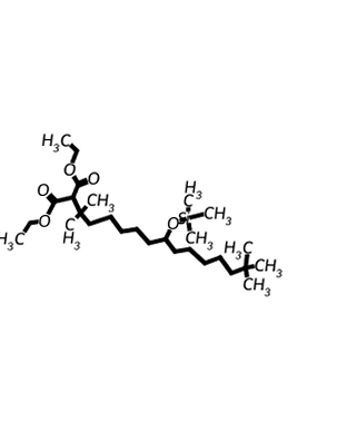 CCOC(=O)C(C(=O)OCC)C(C)(C)CCCCCC(CCCCCC(C)(C)C)O[Si](C)(C)C